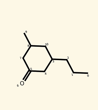 CCCC1CC(=O)CC(C)C1